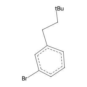 CC(C)(C)CCc1cccc(Br)c1